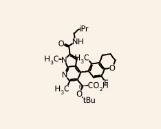 Cc1nc2c(cc(C(=O)NCC(C)C)n2C)c(-c2cc(F)c3c(c2C)CCCO3)c1[C@H](OC(C)(C)C)C(=O)O